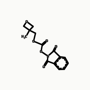 CC1(COC(=O)ON2C(=O)c3ccccc3C2=O)COC1